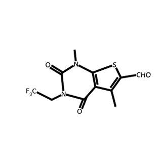 Cc1c(C=O)sc2c1c(=O)n(CC(F)(F)F)c(=O)n2C